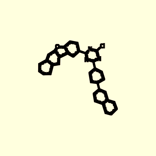 Clc1nc(-c2ccc(-c3ccc4ccccc4c3)cc2)nc(-c2ccc3oc4cc5ccccc5cc4c3c2)n1